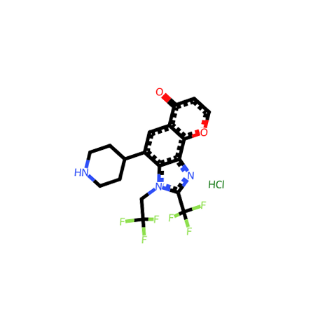 Cl.O=c1ccoc2c1cc(C1CCNCC1)c1c2nc(C(F)(F)F)n1CC(F)(F)F